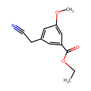 CCOC(=O)c1cc(CC#N)cc(OC)c1